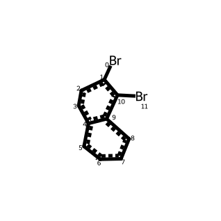 Brc1ccc2c[c]ccc2c1Br